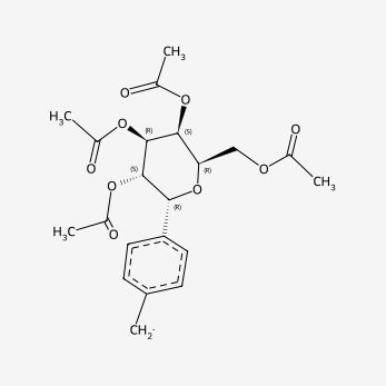 [CH2]c1ccc([C@H]2O[C@H](COC(C)=O)[C@H](OC(C)=O)[C@H](OC(C)=O)[C@H]2OC(C)=O)cc1